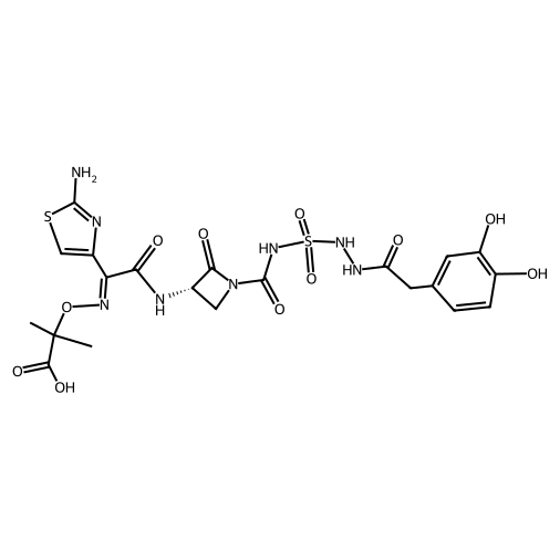 CC(C)(ON=C(C(=O)N[C@H]1CN(C(=O)NS(=O)(=O)NNC(=O)Cc2ccc(O)c(O)c2)C1=O)c1csc(N)n1)C(=O)O